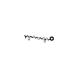 CC(C)CNCCOCCOCCOC(=O)OCc1ccccc1